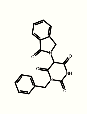 O=C1NC(=O)N(Cc2ccccc2)C(=O)C1N1Cc2ccccc2C1=O